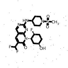 CS(=O)(=O)N1CCC(Nc2ncc3cc(C(F)F)c(=O)n([C@H]4C[C@H](O)CC[C@@H]4F)c3n2)CC1